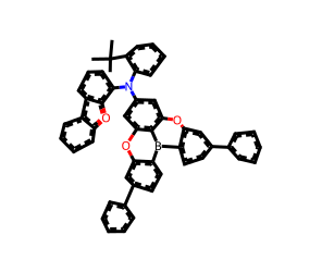 CC(C)(C)c1ccccc1N(c1cc2c3c(c1)Oc1cc(-c4ccccc4)ccc1B3c1ccc(-c3ccccc3)cc1O2)c1cccc2c1oc1ccccc12